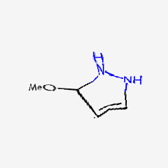 COC1[C]=CNN1